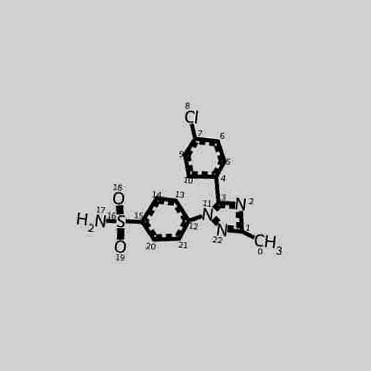 Cc1nc(-c2ccc(Cl)cc2)n(-c2ccc(S(N)(=O)=O)cc2)n1